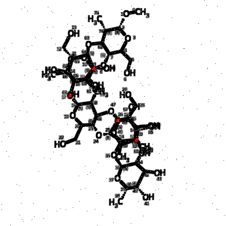 CO[C@@H]1OC(CO)[C@@H](O[C@@H]2O[C@@H](CO)[C@H](O)C(O[C@@H]3OC(CO)[C@@H](O[C@@H]4O[C@@H](CO)[C@H](O)C(C)C4O[C@@H]4O[C@@H](C)[C@@H](O)C(O)C4O)C(O[C@@H]4OC(C)[C@@H](O)C(O)[C@@H]4O)[C@@H]3C)C2O)C(O[C@@H]2OC(C)[C@@H](O)C(O)[C@@H]2O)[C@@H]1C